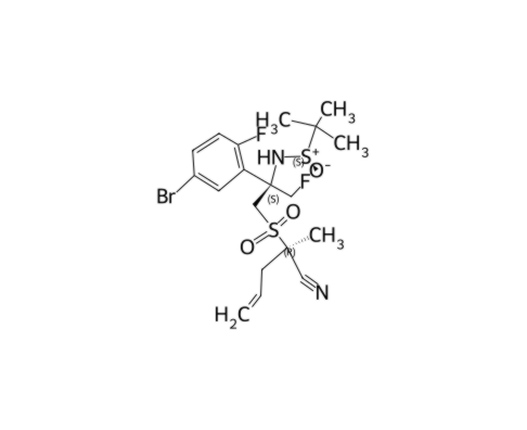 C=CC[C@](C)(C#N)S(=O)(=O)C[C@](CF)(N[S@+]([O-])C(C)(C)C)c1cc(Br)ccc1F